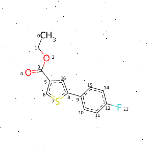 CCOC(=O)c1csc(-c2ccc(F)cc2)c1